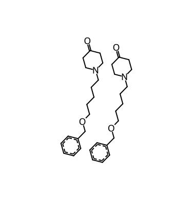 O=C1CCN(CCCCCOCc2ccccc2)CC1.O=C1CCN(CCCCCOCc2ccccc2)CC1